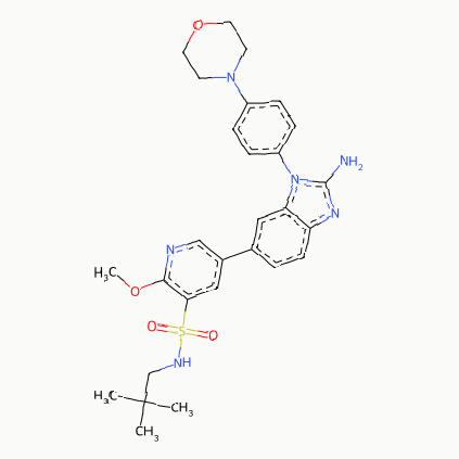 COc1ncc(-c2ccc3nc(N)n(-c4ccc(N5CCOCC5)cc4)c3c2)cc1S(=O)(=O)NCC(C)(C)C